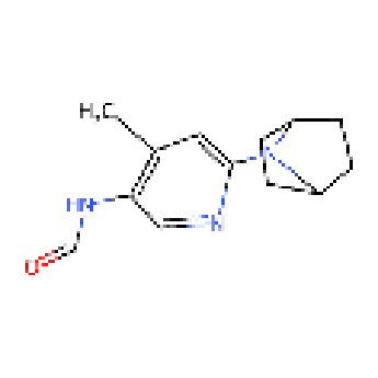 Cc1cc(N2C3CCC2CC3)ncc1NC=O